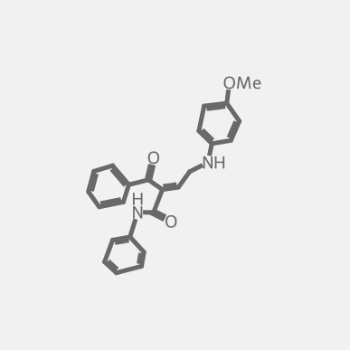 COc1ccc(NCC=C(C(=O)Nc2ccccc2)C(=O)c2ccccc2)cc1